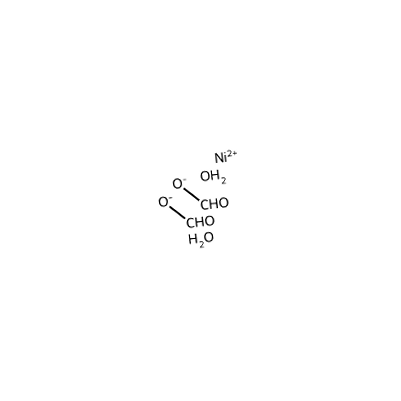 O.O.O=C[O-].O=C[O-].[Ni+2]